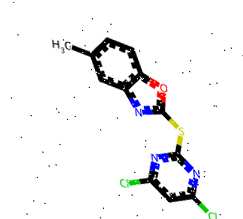 Cc1ccc2oc(Sc3nc(Cl)cc(Cl)n3)nc2c1